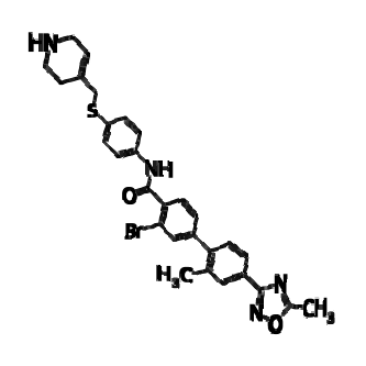 Cc1nc(-c2ccc(-c3ccc(C(=O)Nc4ccc(SCC5=CCNCC5)cc4)c(Br)c3)c(C)c2)no1